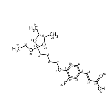 CCO[Si](CCCCOc1ccc(C=CC(=O)O)cc1F)(OCC)OCC